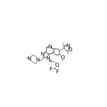 COc1cc2c(cc1-c1c(C)noc1C)ncc1nc(CN3CCN(C)CC3)n([C@@H](C)COC(F)F)c12